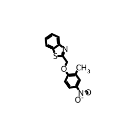 Cc1cc([N+](=O)[O-])ccc1OCc1nc2ccccc2s1